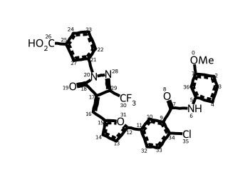 COc1cccc(NC(=O)c2cc(-c3ccc(C=C4C(=O)N(c5cccc(C(=O)O)c5)N=C4C(F)(F)F)o3)ccc2Cl)c1